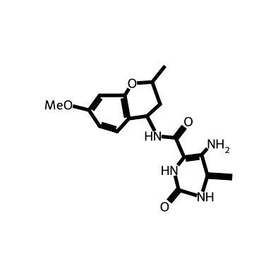 C=C1NC(=O)NC(C(=O)NC2CC(C)Oc3cc(OC)ccc32)=C1N